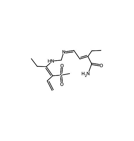 C=C/C(=C(\CC)NC/N=C\C=C(/CC)C(N)=O)S(C)(=O)=O